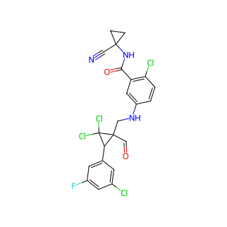 N#CC1(NC(=O)c2cc(NCC3(C=O)C(c4cc(F)cc(Cl)c4)C3(Cl)Cl)ccc2Cl)CC1